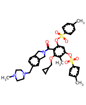 Cc1ccc(S(=O)(=O)Oc2cc(OS(=O)(=O)c3ccc(C)cc3)c(C(=O)N3Cc4ccc(CN5CCN(C)CC5)cc4C3)c(OCC3CC3)c2C)cc1